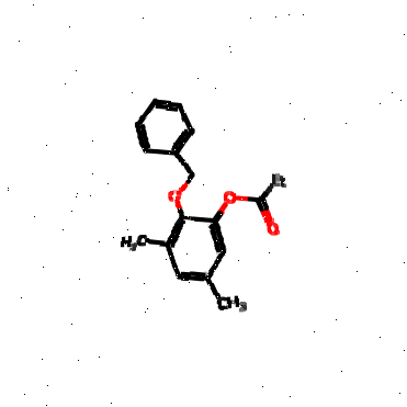 CCC(=O)Oc1cc(C)cc(C)c1OCc1ccccc1